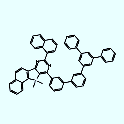 C[Si]1(C)c2c(-c3cccc(-c4cccc(-c5cc(-c6ccccc6)cc(-c6ccccc6)c5)c4)c3)nc(-c3cccc4ccccc34)nc2-c2ccc3ccccc3c21